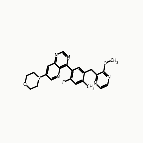 COc1nccnc1Cc1cc(-c2ncnc3cc(N4CCOCC4)cnc23)c(F)cc1C